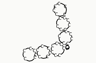 C1=CC2CCC1C2.C1CCCCCCCCCCCCCCCC1.C1CCCCCCCCCCCCCCCC1.C1CCCCCCCCCCCCCCCC1.C1CCCCCCCCCCCCCCCC1.C1CCCCCCCCCCCCCCCC1.C1CCCCCCCCCCCCCCCC1